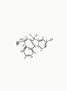 CC1(C)c2cc(I)ccc2-c2c1cc(Br)c1ccccc21